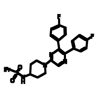 CC(C)S(=O)(=O)NC1CCN(c2cnc(-c3ccc(F)cc3)c(-c3ccc(F)cc3)n2)CC1